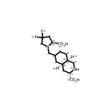 O=C(O)[C@@H]1C[C@H]2CC(CN3CC(F)(F)C[C@H]3C(=O)O)CC[C@H]2CN1